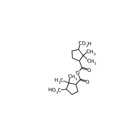 CC1(C)C(C(=O)O)CCC1C(=O)OC(=O)C1CCC(C(=O)O)C1(C)C